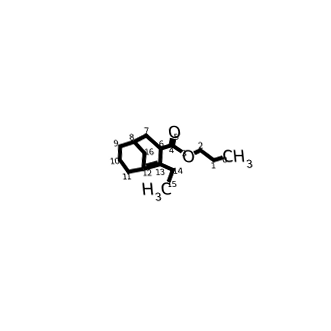 CCCOC(=O)C1CC2CCCC(=C1CC)C2